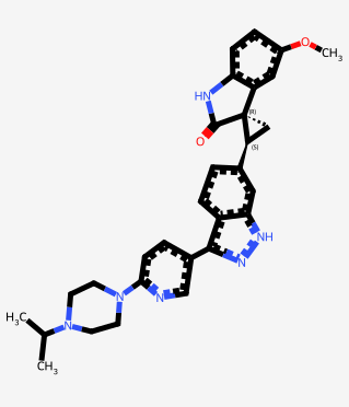 COc1ccc2c(c1)[C@]1(C[C@H]1c1ccc3c(-c4ccc(N5CCN(C(C)C)CC5)nc4)n[nH]c3c1)C(=O)N2